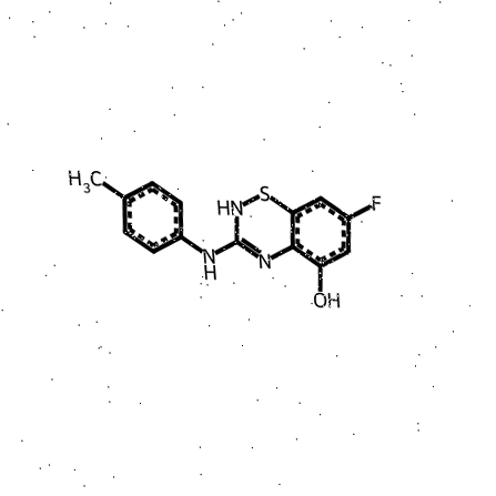 Cc1ccc(NC2=Nc3c(O)cc(F)cc3SN2)cc1